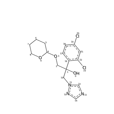 OC(COC1CCCCO1)(Cn1cncn1)c1ccc(Cl)cc1Cl